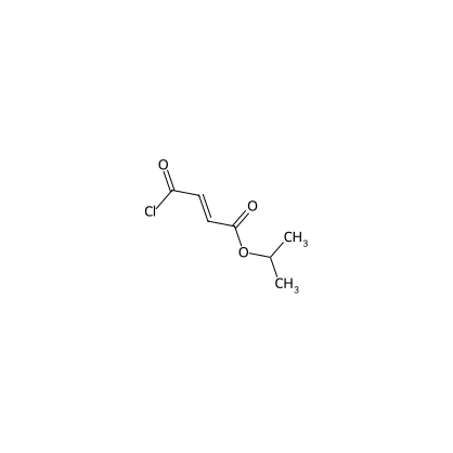 CC(C)OC(=O)/C=C/C(=O)Cl